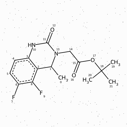 CC1c2c(ccc(F)c2F)NC(=O)N1CC(=O)OC(C)(C)C